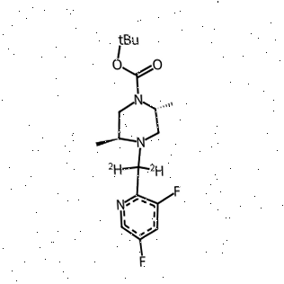 [2H]C([2H])(c1ncc(F)cc1F)N1C[C@@H](C)N(C(=O)OC(C)(C)C)C[C@@H]1C